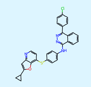 Clc1ccc(-c2nnc(Nc3ccc(Sc4ccnc5cc(C6CC6)oc45)cc3)c3ccccc23)cc1